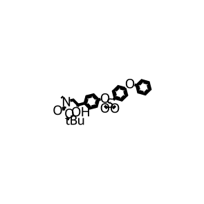 CN(CC(O)c1ccc(OS(=O)(=O)c2ccc(Oc3ccccc3)cc2)cc1)C(=O)OC(C)(C)C